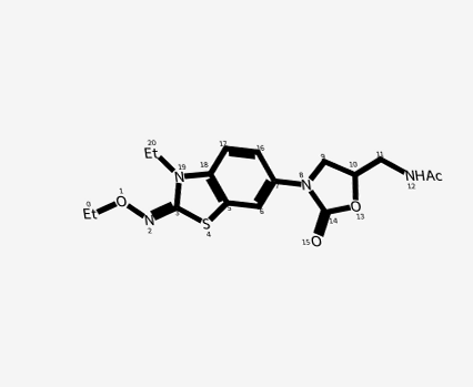 CCON=c1sc2cc(N3CC(CNC(C)=O)OC3=O)ccc2n1CC